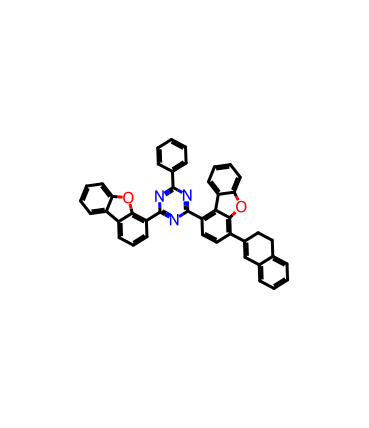 C1=C(c2ccc(-c3nc(-c4ccccc4)nc(-c4cccc5c4oc4ccccc45)n3)c3c2oc2ccccc23)CCc2ccccc21